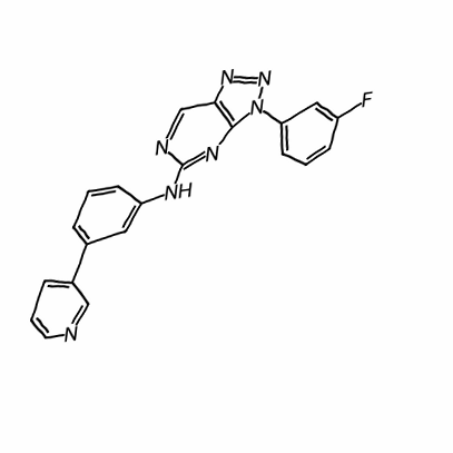 Fc1cccc(-n2nnc3cnc(Nc4cccc(-c5cccnc5)c4)nc32)c1